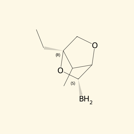 B[C@@H]1O[C@@]2(CC)COC1C2C